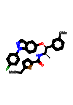 COCc1ccc(C(=O)N[C@@H](C)[C@H](Oc2ccc3c(cnn3-c3ccc(F)cc3)c2)c2cccc(OC)c2)s1